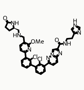 COc1nc(-c2cccc(-c3cccc(-c4ccc5nc(C(=O)NCCc6c[nH]cn6)cn5n4)c3Cl)c2Cl)ccc1CNC[C@H]1CCC(=O)N1